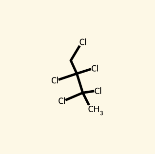 CC(Cl)(Cl)C(Cl)(Cl)CCl